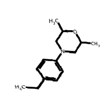 CCc1ccc(N2CC(C)OC(C)C2)cc1